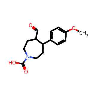 COc1ccc(C2CCN(C(=O)O)CCC2C=O)cc1